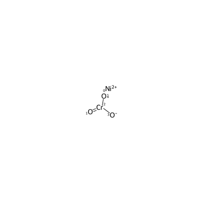 [Ni+2].[O]=[Cr]([O-])[O-]